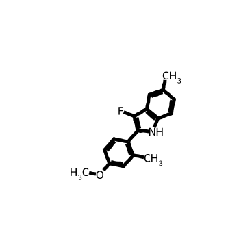 COc1ccc(-c2[nH]c3ccc(C)cc3c2F)c(C)c1